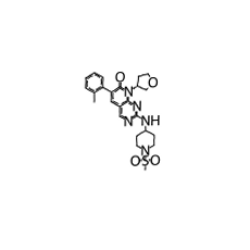 Cc1ccccc1-c1cc2cnc(NC3CCN(S(C)(=O)=O)CC3)nc2n([C@H]2CCOC2)c1=O